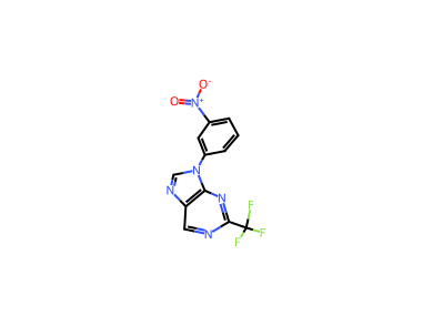 O=[N+]([O-])c1cccc(-n2cnc3cnc(C(F)(F)F)nc32)c1